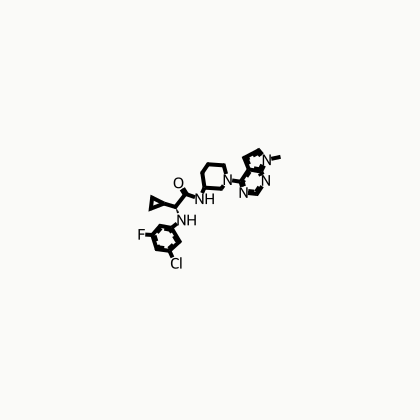 Cn1ccc2c(N3CCCC(NC(=O)[C@H](Nc4cc(F)cc(Cl)c4)C4CC4)C3)ncnc21